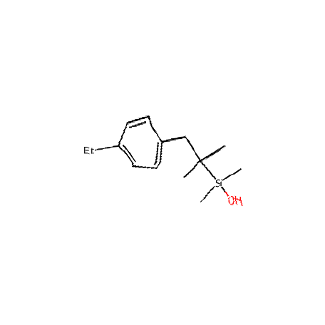 CCc1ccc(CC(C)(C)[Si](C)(C)O)cc1